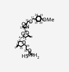 C=C1C[C@H](C[C@@H]2CC(=C)O[C@H](c3coc(COCc4ccc(OC)cc4)n3)O2)O[C@@H](CCOB(P)S)C1